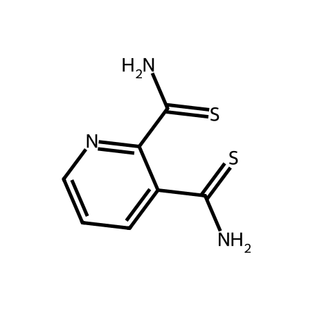 NC(=S)c1cccnc1C(N)=S